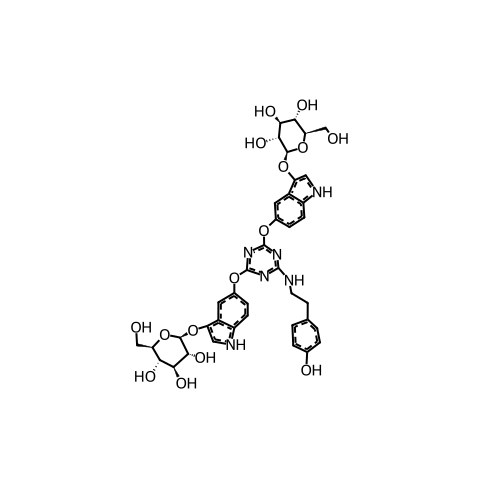 OC[C@H]1O[C@@H](Oc2c[nH]c3ccc(Oc4nc(NCCc5ccc(O)cc5)nc(Oc5ccc6[nH]cc(O[C@@H]7O[C@H](CO)[C@@H](O)[C@H](O)[C@H]7O)c6c5)n4)cc23)[C@H](O)[C@@H](O)[C@@H]1O